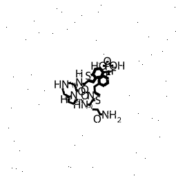 NC(=O)CC[C@H](NC(=O)[C@@H]1CC[C@@H]2CCNC[C@H](NC(=O)c3cc4cc(C(F)(F)P(=O)(O)O)ccc4s3)C(=O)N21)c1nc(Cc2ccccc2)cs1